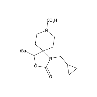 CC(C)(C)C1OC(=O)N(CC2CC2)C12CCN(C(=O)O)CC2